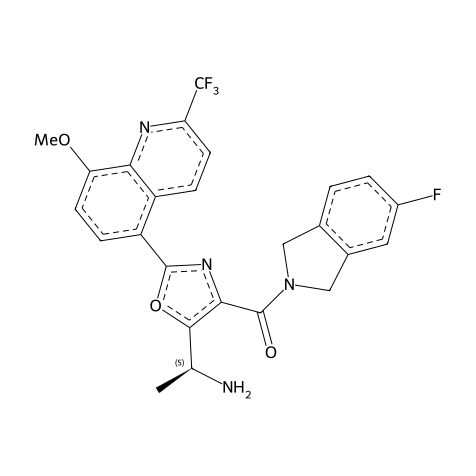 COc1ccc(-c2nc(C(=O)N3Cc4ccc(F)cc4C3)c([C@H](C)N)o2)c2ccc(C(F)(F)F)nc12